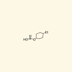 CCC1CCC(OBO)CC1